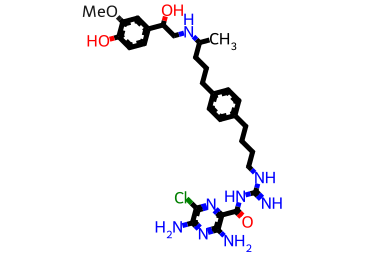 COc1cc(C(O)CNC(C)CCCc2ccc(CCCCNC(=N)NC(=O)c3nc(Cl)c(N)nc3N)cc2)ccc1O